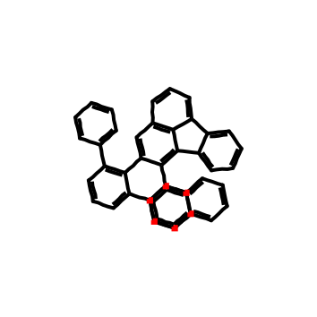 c1ccc(-c2cccc(-c3ccccc3)c2-c2cc3cccc4c3c(c2-c2cccc3ccccc23)-c2ccccc2-4)cc1